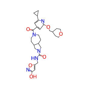 O=C(NCc1cc(O)no1)N1CC2CCN(C(=O)c3cc(OCC4CCOCC4)nc(C4CC4)c3)CCC2C1